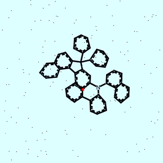 c1ccc(-c2ccccc2N(c2ccc3c(c2)C(c2ccccc2)(c2ccccc2)c2ccc4ccccc4c2-3)c2cccc3ccccc23)cc1